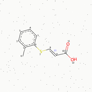 Cc1ccccc1S/C=C/C(=O)O